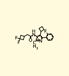 Cn1nc(-c2ccccc2F)c(C2CCC2)c1NC(=O)CC1CC(F)(F)C1